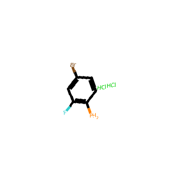 Cl.Cl.Fc1cc(Br)ccc1P